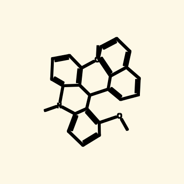 COc1cccc2c1C(c1cccc3ccccc13)c1c(OC)cccc1N2C